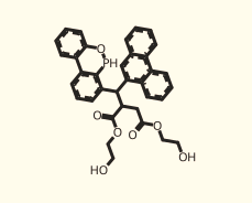 O=C(CC(C(=O)OCCO)C(c1cccc2c1POc1ccccc1-2)c1cc2ccccc2c2ccccc12)OCCO